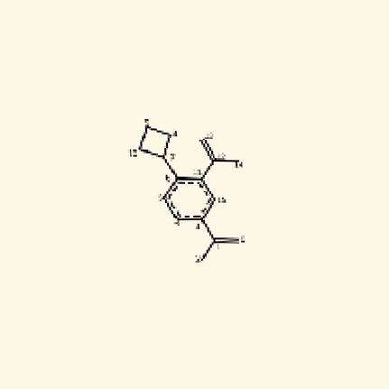 C=C(C)c1ccc(C2CCC2)c(C(=C)C)c1